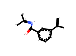 C=C(C)c1cccc(C(=O)N=C(C)C)c1